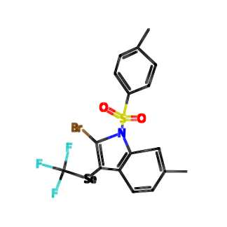 Cc1ccc(S(=O)(=O)n2c(Br)c([Se]C(F)(F)F)c3ccc(C)cc32)cc1